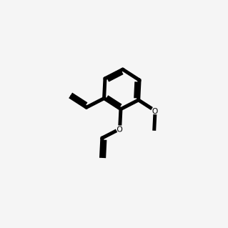 C=COc1c(C=C)cccc1OC